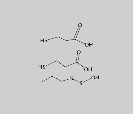 CCCSSO.O=C(O)CCS.O=C(O)CCS